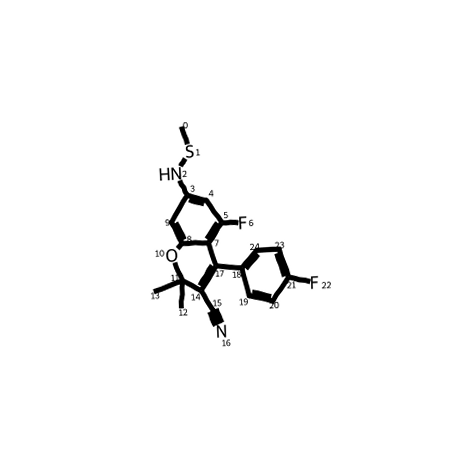 CSNc1cc(F)c2c(c1)OC(C)(C)C(C#N)=C2c1ccc(F)cc1